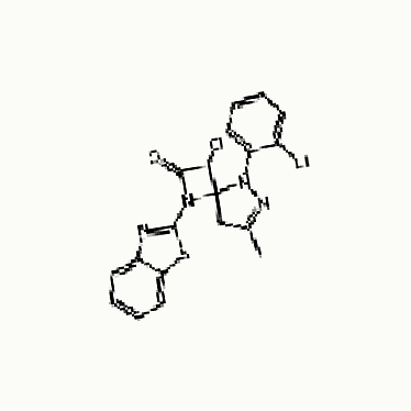 CC1=NN(c2ccccc2Cl)C2(C1)C(Cl)C(=O)N2c1nc2ccccc2s1